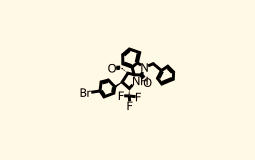 O=C[C@H]1[C@H](c2ccc(Br)cc2)[C@@H](C(F)(F)F)N[C@]12C(=O)N(Cc1ccccc1)c1ccccc12